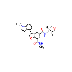 CNC(=O)c1cc(C(=O)NC2[C@H]3COC[C@@H]23)cc2c1OCC2c1cccc2c1ccn2C